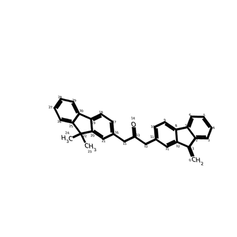 C=C1c2ccccc2-c2ccc(CC(=O)Cc3ccc4c(c3)C(C)(C)c3ccccc3-4)cc21